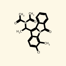 CC(=O)N(C(C)=O)C(C)c1c2n(c3c(C)c(Cl)ccc13)C(=O)c1ccccc1-2